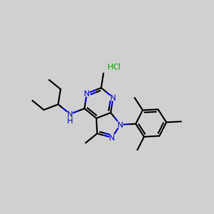 CCC(CC)Nc1nc(C)nc2c1c(C)nn2-c1c(C)cc(C)cc1C.Cl